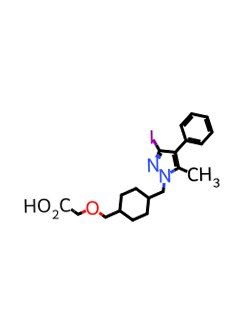 Cc1c(-c2ccccc2)c(I)nn1CC1CCC(COCC(=O)O)CC1